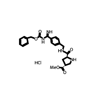 COC(=O)[C@H]1CN[C@H](C(=O)NCc2ccc(C(=N)NC(=O)OCc3ccccc3)cc2)C1.Cl